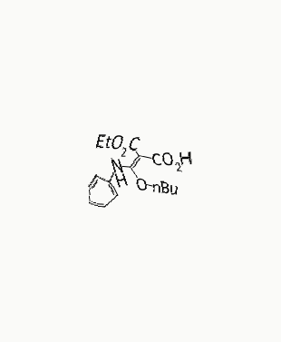 CCCCOC(Nc1ccccc1)=C(C(=O)O)C(=O)OCC